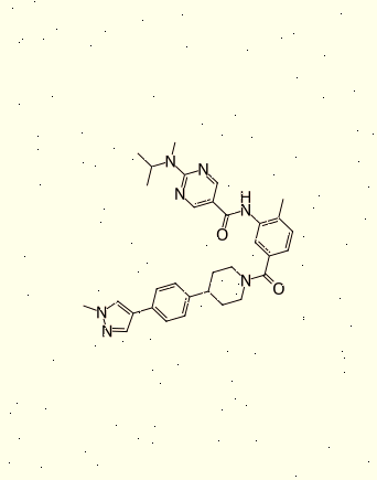 Cc1ccc(C(=O)N2CCC(c3ccc(-c4cnn(C)c4)cc3)CC2)cc1NC(=O)c1cnc(N(C)C(C)C)nc1